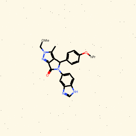 CCCOc1ccc(C2c3c(nn(COC)c3C)C(=O)N2c2ccc3[nH]cnc3c2)cc1